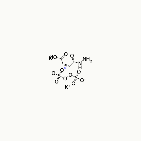 NNC(=O)/C=C\C(=O)O.O=S(=O)([O-])OOS(=O)(=O)[O-].[K+].[K+]